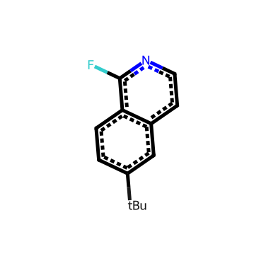 CC(C)(C)c1ccc2c(F)nccc2c1